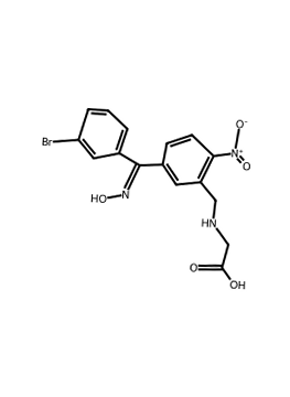 O=C(O)CNCc1cc(C(=NO)c2cccc(Br)c2)ccc1[N+](=O)[O-]